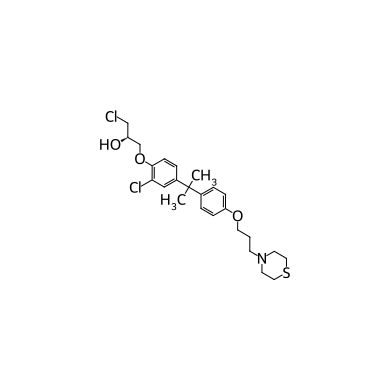 CC(C)(c1ccc(OCCCN2CCSCC2)cc1)c1ccc(OC[C@@H](O)CCl)c(Cl)c1